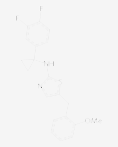 COc1ccccc1Cc1cnc(NC2(c3ccc(F)c(F)c3)CC2)s1